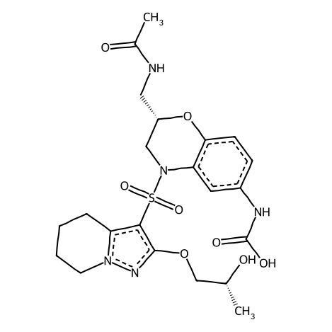 CC(=O)NC[C@H]1CN(S(=O)(=O)c2c(OC[C@@H](C)O)nn3c2CCCC3)c2cc(NC(=O)O)ccc2O1